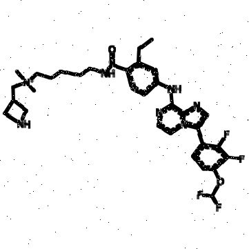 CCc1cc(Nc2nccn3c(-c4ccc(OC(F)F)c(F)c4F)cnc23)ccc1C(=O)NCCCCC[N+](C)(C)CC1CNC1